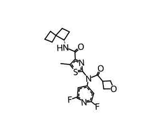 Cc1sc(N(C(=O)C2COC2)c2cc(F)nc(F)c2)nc1C(=O)N[C@H]1CCC12CCC2